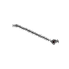 O=P(O)(O)OCCCCCCCCCCCCCCCCCCCCCCCCCCCCCCCCCCCCCS